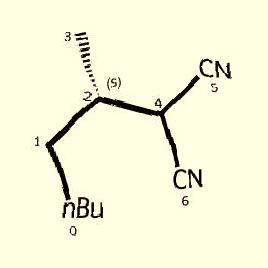 CCCCC[C@H](C)C(C#N)C#N